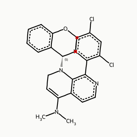 CN(C)C1=CCN([C@H]2CCOc3ccccc32)c2c1ccnc2-c1ncc(Cl)cc1Cl